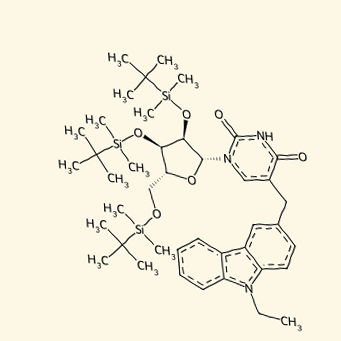 CCn1c2ccccc2c2cc(Cc3cn([C@@H]4O[C@H](CO[Si](C)(C)C(C)(C)C)[C@@H](O[Si](C)(C)C(C)(C)C)[C@H]4O[Si](C)(C)C(C)(C)C)c(=O)[nH]c3=O)ccc21